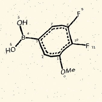 COc1cc(B(O)O)cc(F)c1F